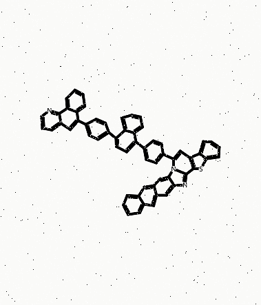 c1ccc2cc3cc4c(cc3cc2c1)nc1c2sc3ccccc3c2cc(-c2ccc(-c3ccc(-c5ccc(-c6cc7cccnc7c7ccccc67)cc5)c5ccccc35)cc2)n41